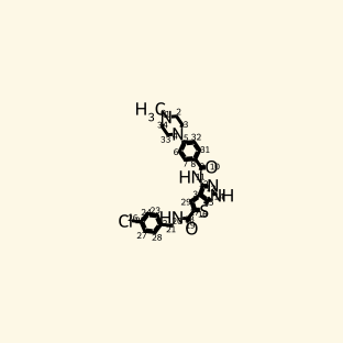 CN1CCN(c2ccc(C(=O)Nc3n[nH]c4sc(C(=O)NCc5ccc(Cl)cc5)cc34)cc2)CC1